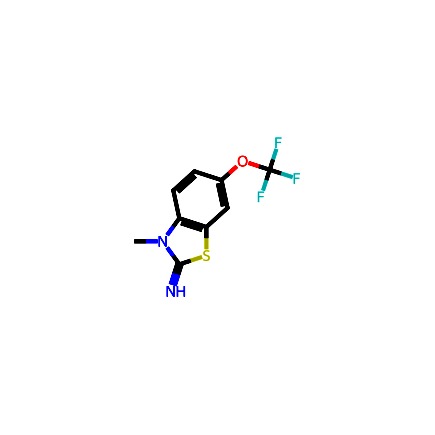 Cn1c(=N)sc2cc(OC(F)(F)F)ccc21